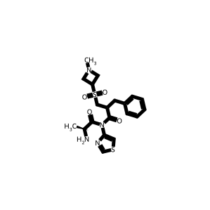 C[C@H](N)C(=O)N(C(=O)C(Cc1ccccc1)CS(=O)(=O)C1CN(C)C1)c1cscn1